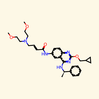 COCCN(CC=CC(=O)Nc1ccc2nc(OCC3CC3)nc(N[C@H](C)c3ccccc3)c2c1)CCOC